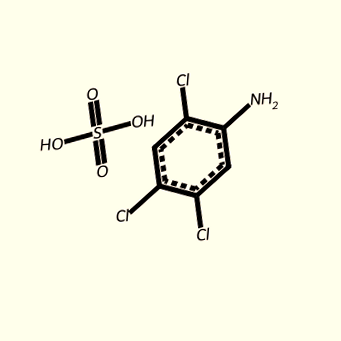 Nc1cc(Cl)c(Cl)cc1Cl.O=S(=O)(O)O